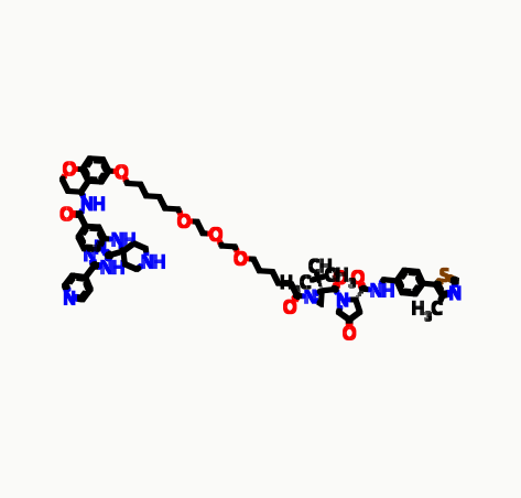 Cc1ncsc1-c1ccc(CNC(=O)[C@@H]2CC(=O)CN2C(=O)[C@@]2(C(C)(C)C)CN2C(=O)CCCCCOCCOCCOCCCCCCOc2ccc3c(c2)C(NC(=O)c2cccc(NC4(c5nnc(-c6ccncc6)[nH]5)CCNCC4)c2)CCO3)cc1